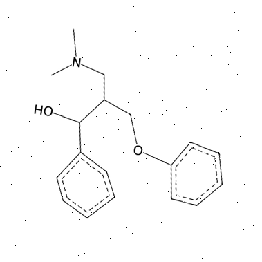 CN(C)CC(COc1ccccc1)C(O)c1ccccc1